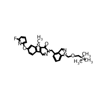 Cn1c2cc(Oc3cccc(F)n3)ccc2c2cnn(Cc3cccc4c3cnn4COCC[Si](C)(C)C)c(=O)c21